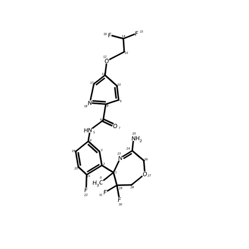 CC1(c2cc(NC(=O)c3ccc(OCC(F)F)cn3)ccc2F)N=C(N)COCC1(F)F